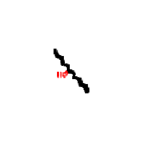 C=C/C=C/CCC(O)CCCCC